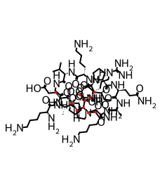 CC[C@H](C)[C@H](NC(=O)[C@@H]1CCCN1C(=O)[C@H](CCC(=O)O)NC(=O)[C@@H](N)CCCCN)C(=O)N1CCC[C@H]1C(=O)N[C@@H](CCC(N)=O)C(=O)N[C@@H](C)C(=O)N[C@@H](CCCCN)C(=O)N1CCC[C@H]1C(=O)N[C@@H](CCCNC(=N)N)C(=O)N[C@@H](CCCCN)C(=O)N[C@H](C(=O)N[C@@H](C)C(=O)N[C@@H](C)C(=O)N[C@@H](CCC(N)=O)C(=O)O)C(C)C